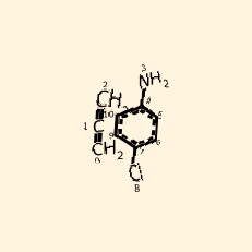 C=C=C.Nc1ccc(Cl)cc1